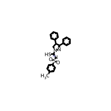 Cc1ccc(S(=O)(=O)/N=C(\S)N2CC(c3ccccc3)C(c3ccccc3)=N2)cc1